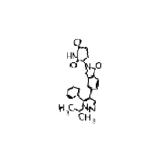 CC(C)n1ncc(-c2ccc3c(c2)CN(C2CCC(=O)NC2=O)C3=O)c1-c1ccccc1